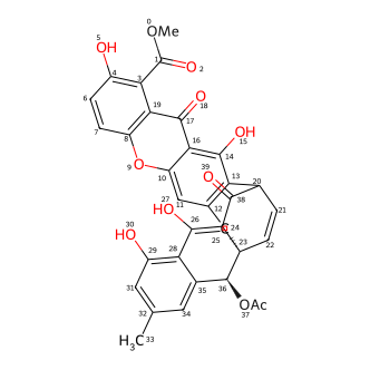 COC(=O)c1c(O)ccc2oc3cc4c(c(O)c3c(=O)c12)C1C=C[C@]2(C4)C(=C(O)c3c(O)cc(C)cc3[C@@H]2OC(C)=O)C1=O